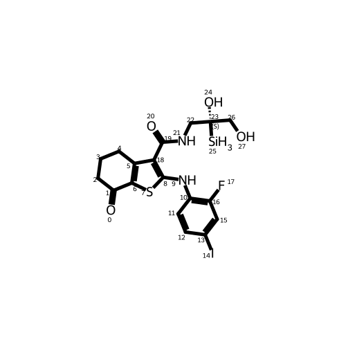 O=C1CCCc2c1sc(Nc1ccc(I)cc1F)c2C(=O)NC[C@](O)([SiH3])CO